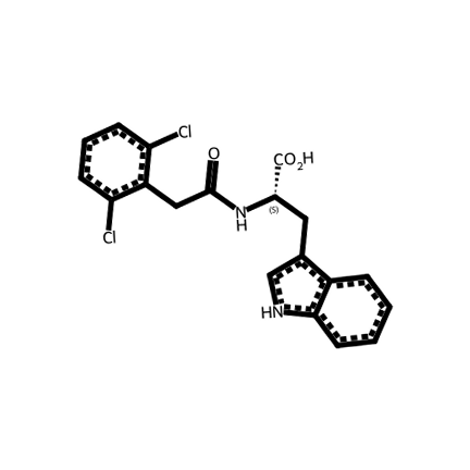 O=C(Cc1c(Cl)cccc1Cl)N[C@@H](Cc1c[nH]c2ccccc12)C(=O)O